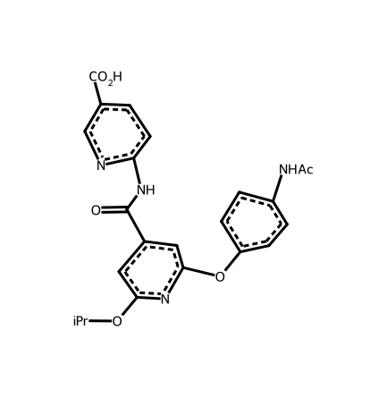 CC(=O)Nc1ccc(Oc2cc(C(=O)Nc3ccc(C(=O)O)cn3)cc(OC(C)C)n2)cc1